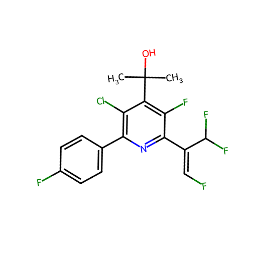 CC(C)(O)c1c(F)c(C(=CF)C(F)F)nc(-c2ccc(F)cc2)c1Cl